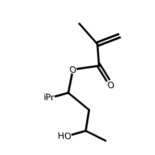 C=C(C)C(=O)OC(CC(C)O)C(C)C